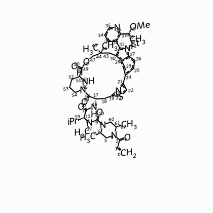 C=CC(=O)N1C[C@@H](C)N(C(=O)N(C)[C@H](C(=O)N[C@H]2Cc3nc(cs3)-c3ccc4c(c3)c(c(-c3cccnc3[C@H](C)OC)n4CC)CC(C)(C)COC(=O)[C@@H]3CCCN(N3)C2=O)C(C)C)C[C@H]1C